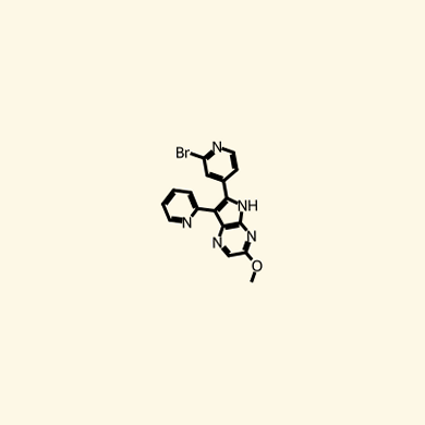 COc1cnc2c(-c3ccccn3)c(-c3ccnc(Br)c3)[nH]c2n1